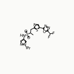 CC(C)n1cc(NS(=O)(=O)C(C)Cc2ncc(-c3nnc(C(F)F)o3)s2)cn1